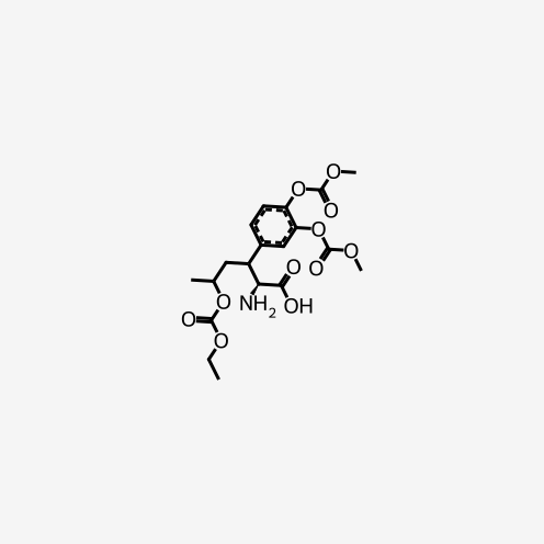 CCOC(=O)OC(C)CC(c1ccc(OC(=O)OC)c(OC(=O)OC)c1)[C@H](N)C(=O)O